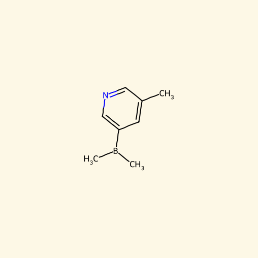 CB(C)c1cncc(C)c1